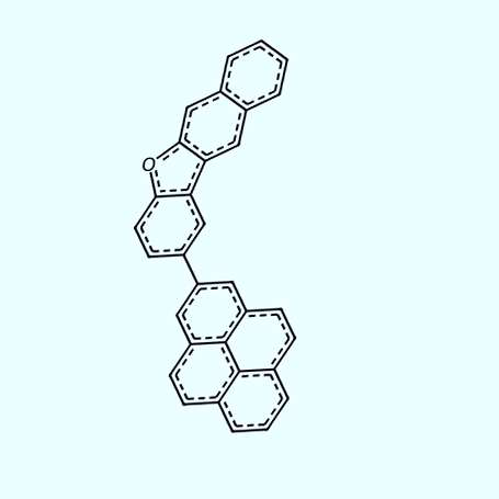 c1ccc2cc3c(cc2c1)oc1ccc(-c2cc4ccc5cccc6ccc(c2)c4c56)cc13